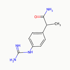 CC(C(N)=O)c1ccc(NC(=N)N)cc1